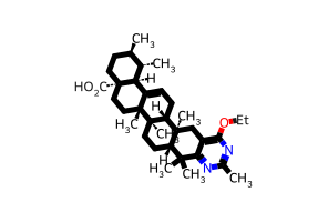 CCOc1nc(C)nc2c1C[C@]1(C)[C@H]3CC=C4[C@@H]5[C@@H](C)[C@H](C)CC[C@]5(C(=O)O)CC[C@@]4(C)[C@]3(C)CC[C@H]1C2(C)C